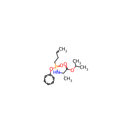 C=CCCP(=O)(N[C@@H](C)C(=O)OC(C)C)Oc1ccccc1